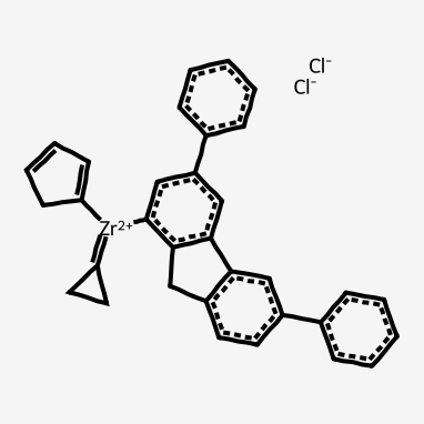 C1=CC[C]([Zr+2](=[C]2CC2)[c]2cc(-c3ccccc3)cc3c2Cc2ccc(-c4ccccc4)cc2-3)=C1.[Cl-].[Cl-]